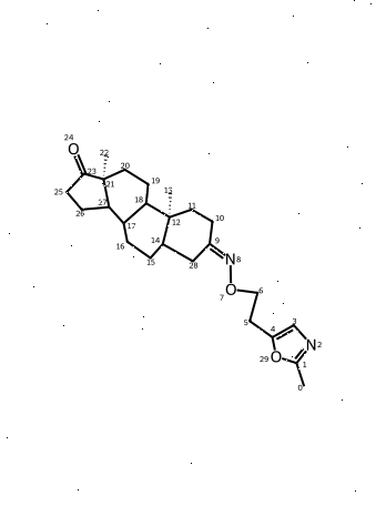 Cc1ncc(CCON=C2CC[C@@]3(C)C(CCC4C3CC[C@]3(C)C(=O)CCC43)C2)o1